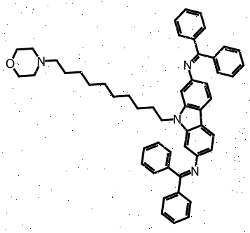 c1ccc(C(=Nc2ccc3c4ccc(N=C(c5ccccc5)c5ccccc5)cc4n(CCCCCCCCCCN4CCOCC4)c3c2)c2ccccc2)cc1